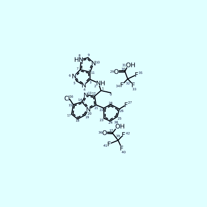 CC(Nc1ncnc2[nH]cnc12)c1nc2c(Cl)cccn2c1-c1cccc(F)c1.O=C(O)C(F)(F)F.O=C(O)C(F)(F)F